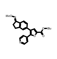 CON=C1CCc2cc(-c3cc(C(=O)OC(C)(C)C)oc3-c3ccncc3)ccc21